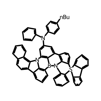 CCCCc1ccc(N(c2ccccc2)c2cc3c4c(c2)-n2c5c(cccc5c5ccc6ccccc6c52)B4N2c4ccccc4S4(c5ccccc5-c5ccccc54)c4cccc-3c42)cc1